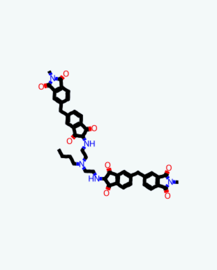 CCCCN(CCNC1C(=O)c2ccc(Cc3ccc4c(c3)C(=O)N(C)C4=O)cc2C1=O)CCNC1C(=O)c2ccc(Cc3ccc4c(c3)C(=O)N(C)C4=O)cc2C1=O